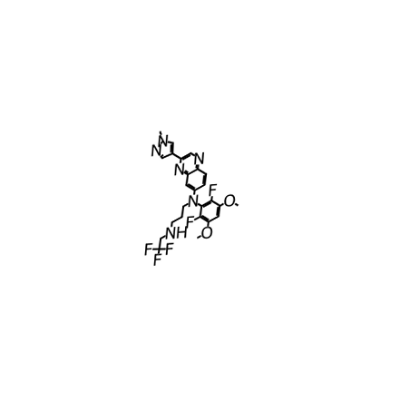 COc1cc(OC)c(F)c(N(CCCNCC(F)(F)F)c2ccc3ncc(-c4cnn(C)c4)nc3c2)c1F